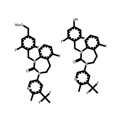 CCCc1cc(F)c(CN2C(=O)N(c3cnc(C)c(C(C)(F)F)c3)CCc3c(F)cccc32)c(F)c1.COCc1cc(F)c(CN2C(=O)N(c3cnc(C)c(C(C)(F)F)c3)CCc3c(F)cccc32)c(F)c1